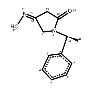 C[C@@H](c1ccccc1)N1C/C(=N\O)CC1=O